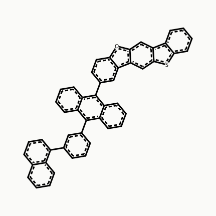 c1cc(-c2cccc3ccccc23)cc(-c2c3ccccc3c(-c3ccc4oc5cc6c(cc5c4c3)sc3ccccc36)c3ccccc23)c1